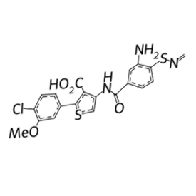 C=NSc1ccc(C(=O)Nc2csc(-c3ccc(Cl)c(OC)c3)c2C(=O)O)cc1N